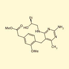 CC[C@H](O)CNc1nc(N)nc(C)c1Cc1ccc(CC(=O)OC)cc1OC